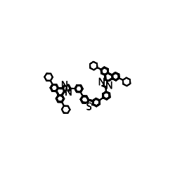 c1cc(-c2ccc3sc4ccc(-c5cccc(-c6cnc7c8cc(C9CCCCC9)ccc8c8ccc(C9CCCCC9)cc8c7n6)c5)cc4c3c2)cc(-c2cnc3c4cc(C5CCCCC5)ccc4c4ccc(C5CCCCC5)cc4c3n2)c1